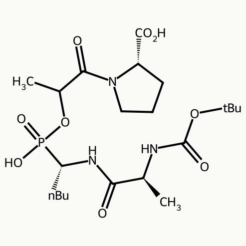 CCCC[C@@H](NC(=O)[C@H](C)NC(=O)OC(C)(C)C)P(=O)(O)OC(C)C(=O)N1CCC[C@H]1C(=O)O